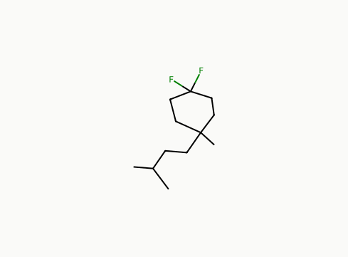 CC(C)CCC1(C)CCC(F)(F)CC1